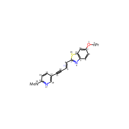 CCCOc1ccc2nc(/C=C/C#Cc3ccc(NC)nc3)sc2c1